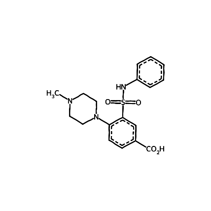 CN1CCN(c2ccc(C(=O)O)cc2S(=O)(=O)Nc2ccccc2)CC1